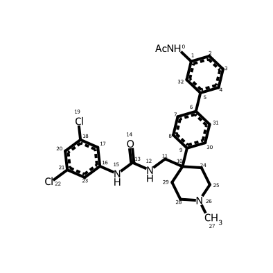 CC(=O)Nc1cccc(-c2ccc(C3(CNC(=O)Nc4cc(Cl)cc(Cl)c4)CCN(C)CC3)cc2)c1